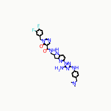 CN(C)Cc1ccc(Nc2nc(N)n(-c3ccc4c(n3)CC(CNC(=O)c3cncn(Cc5ccc(F)c(F)c5)c3=O)N4)n2)cc1